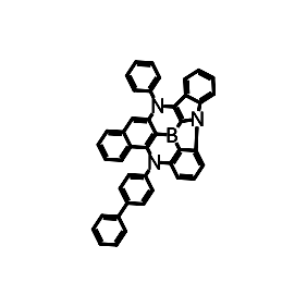 c1ccc(-c2ccc(N3c4cccc5c4B4c6c(cc7ccccc7c63)N(c3ccccc3)c3c4n-5c4ccccc34)cc2)cc1